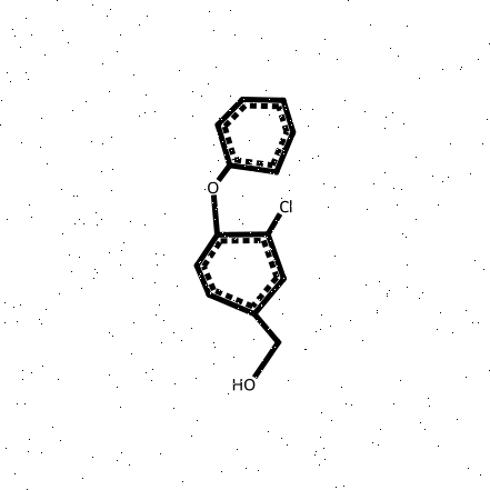 OCc1ccc(Oc2ccccc2)c(Cl)c1